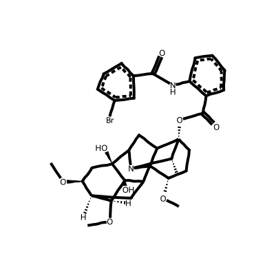 CO[C@H]1C[C@]2(O)C3CC4C5(C6C[C@H]1[C@H](OC)[C@@]62O)[C@@H](OC)CC[C@@]4(OC(=O)c1ccccc1NC(=O)c1cccc(Br)c1)[C@H](C)N35